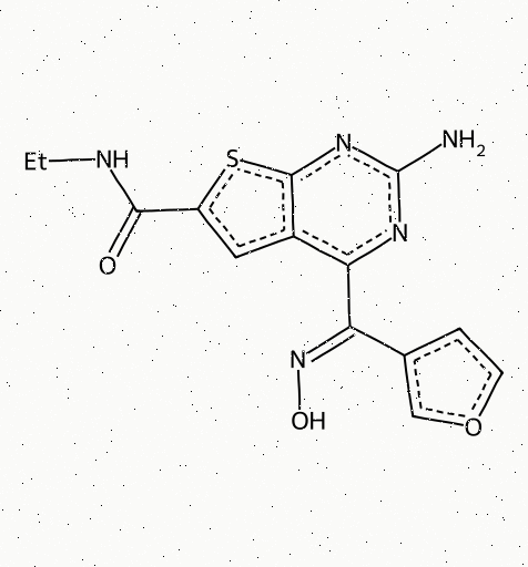 CCNC(=O)c1cc2c(C(=NO)c3ccoc3)nc(N)nc2s1